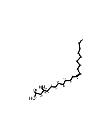 CCCCCCCC/C=C\CCCCCCCCC(N)CC(=O)O